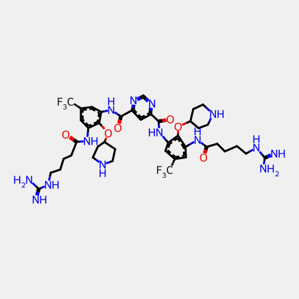 N=C(N)NCCCCC(=O)Nc1cc(C(F)(F)F)cc(NC(=O)c2cc(C(=O)Nc3cc(C(F)(F)F)cc(NC(=O)CCCCNC(=N)N)c3OC3CCNCC3)ncn2)c1OC1CCNCC1